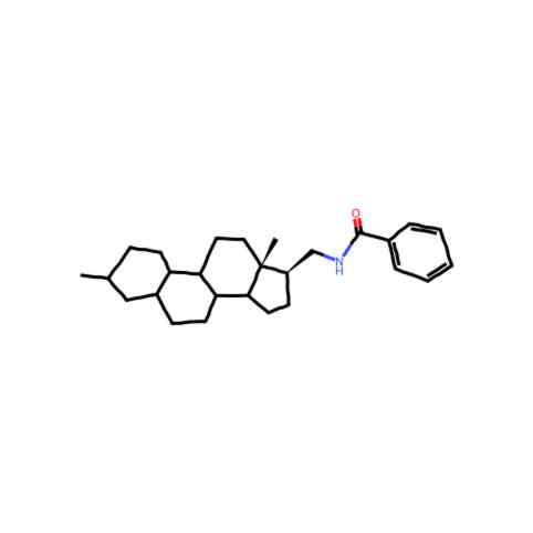 CC1CCC2C(CCC3C2CC[C@@]2(C)C3CC[C@@H]2CNC(=O)c2ccccc2)C1